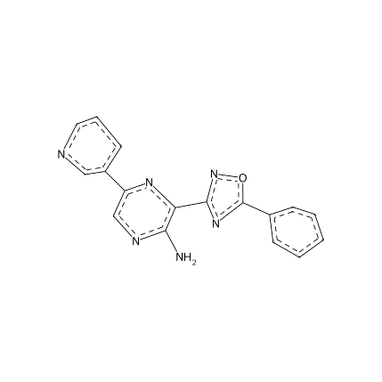 Nc1ncc(-c2cccnc2)nc1-c1noc(-c2ccccc2)n1